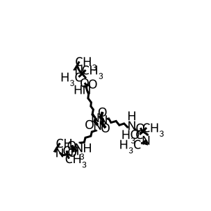 CC1CN1CC(C)(C)OC(=O)NCCCCCCn1c(=O)n(CCCCCCNC(=O)OCC(C)(C)N2CC2C)c(=O)n(CCCCCCNC(=O)OC(C)(C)CN2CC2C)c1=O